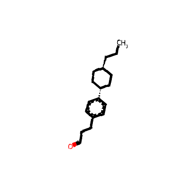 CCC[C@H]1CC[C@H](c2ccc(CCC=O)cc2)CC1